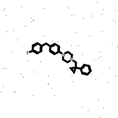 Fc1ccc(Cc2ccc(N3CCN(CC4(c5ccccc5)CC4)CC3)cc2)cc1